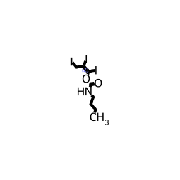 CCCCNC(=O)O/C(I)=C(/I)CI